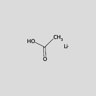 CC(=O)O.[Li]